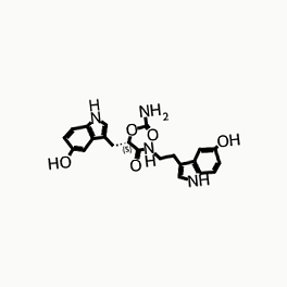 NC(=O)O[C@@H](Cc1c[nH]c2ccc(O)cc12)C(=O)NCCc1c[nH]c2ccc(O)cc12